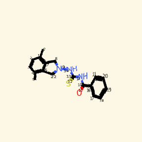 Cc1ccc(C)c2c1CN(NC(=S)NC(=O)c1ccccc1)C2